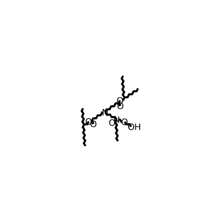 CCCCCCCCC(CCCCCC)COC(=O)CCCCCN(CCCCCC(=O)OCC(CCCCCC)CCCCCCCC)CCCCN(CCOCCO)C(=O)CCCCCCC